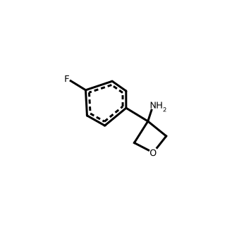 NC1(c2ccc(F)cc2)COC1